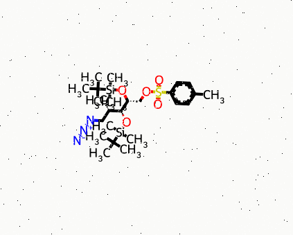 Cc1ccc(S(=O)(=O)OC[C@@H](O[Si](C)(C)C(C)(C)C)[C@H](O[Si](C)(C)C(C)(C)C)[C@@H](C)CN=[N+]=[N-])cc1